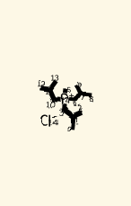 CC(C)C[P+](C)(CC(C)C)CC(C)C.[Cl-]